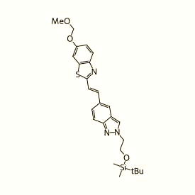 COCOc1ccc2nc(/C=C/c3ccc4nn(CCO[Si](C)(C)C(C)(C)C)cc4c3)sc2c1